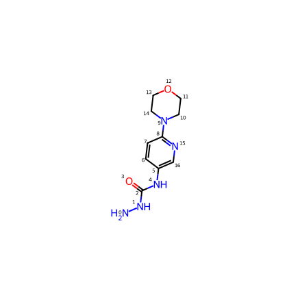 NNC(=O)Nc1ccc(N2CCOCC2)nc1